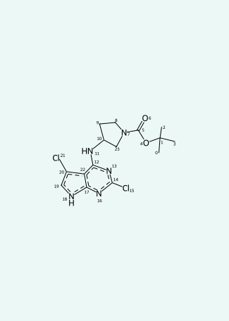 CC(C)(C)OC(=O)N1CCC(Nc2nc(Cl)nc3[nH]cc(Cl)c23)C1